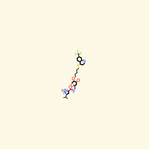 CC(C)c1cc(C(=O)N(C)Cc2cc(=O)c(OCCCCCSc3ccnc4cc(C(F)(F)F)ccc34)co2)[nH]n1